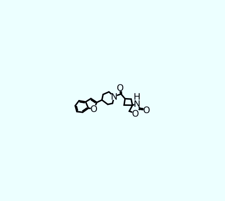 O=C1NC2(CO1)CC(C(=O)N1CCC(c3cc4ccccc4o3)CC1)C2